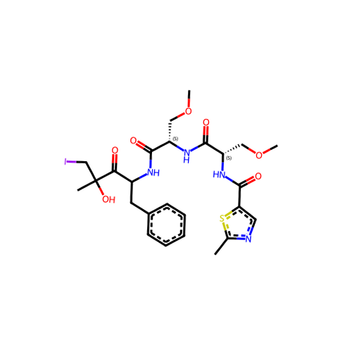 COC[C@H](NC(=O)c1cnc(C)s1)C(=O)N[C@@H](COC)C(=O)NC(Cc1ccccc1)C(=O)C(C)(O)CI